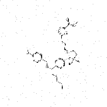 CCCCCC(OCc1ccc(OC)cc1)c1ccc([C@@H]2[C@@H](CCCc3ccc(C(=O)OC)s3)CCC2(Br)Br)cc1